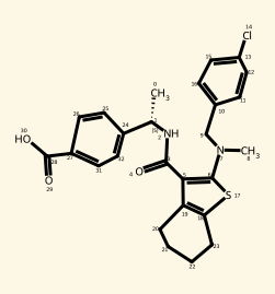 C[C@H](NC(=O)c1c(N(C)Cc2ccc(Cl)cc2)sc2c1CCCC2)c1ccc(C(=O)O)cc1